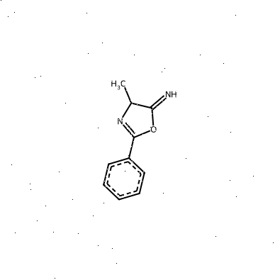 CC1N=C(c2ccccc2)OC1=N